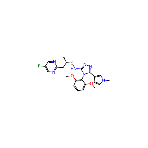 COc1cccc(OC)c1-n1c(NS[C@H](C)Cc2ncc(F)cn2)nnc1-c1ccn(C)c1